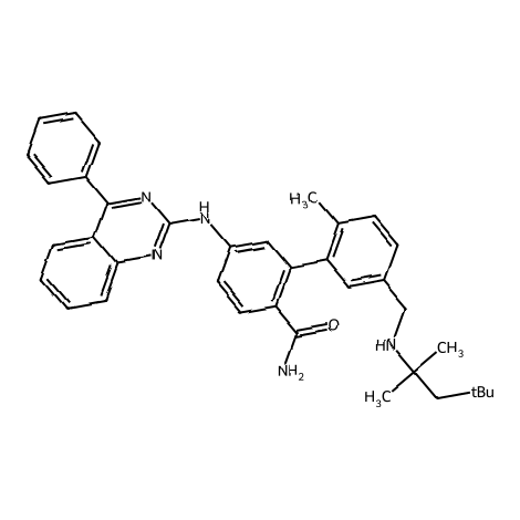 Cc1ccc(CNC(C)(C)CC(C)(C)C)cc1-c1cc(Nc2nc(-c3ccccc3)c3ccccc3n2)ccc1C(N)=O